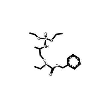 CCOP(=O)(NC(C)CCN(CC)C(=O)OCc1ccccc1)OCC